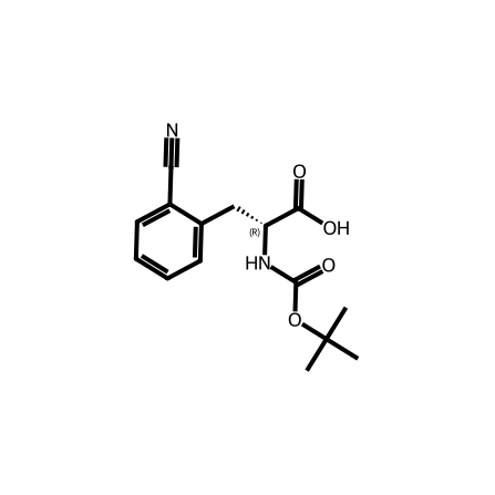 CC(C)(C)OC(=O)N[C@H](Cc1ccccc1C#N)C(=O)O